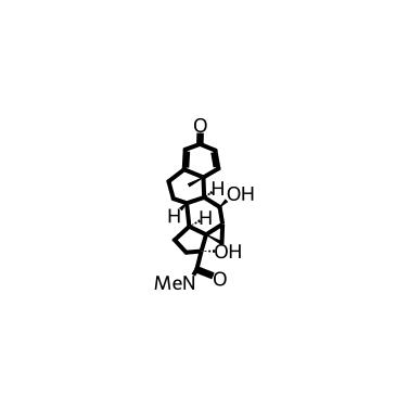 CNC(=O)[C@@]1(O)CC[C@H]2[C@@H]3CCC4=CC(=O)C=C[C@]4(C)[C@H]3[C@@H](O)C3C[C@]321